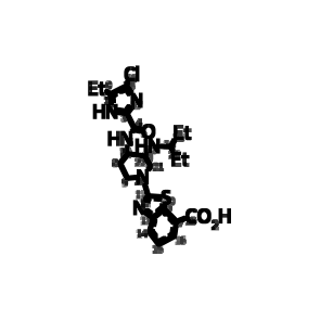 CCc1[nH]c(C(=O)N[C@@H]2CCN(c3nc4cccc(C(=O)O)c4s3)C[C@@H]2NC(CC)CC)nc1Cl